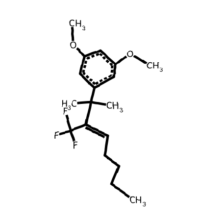 CCCC/C=C(\C(F)(F)F)C(C)(C)c1cc(OC)cc(OC)c1